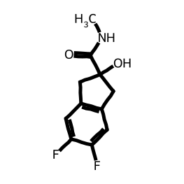 CNC(=O)C1(O)Cc2cc(F)c(F)cc2C1